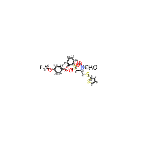 O=CN(O)C(CSc1cccs1)CS(=O)(=O)c1ccccc1Oc1ccc(OC(F)(F)F)cc1